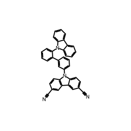 N#Cc1ccc2c(c1)c1cc(C#N)ccc1n2-c1cccc(-c2ccccc2-n2c3ccccc3c3ccccc32)c1